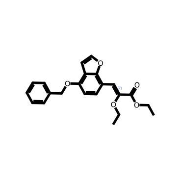 CCOC(=O)/C(=C/c1ccc(OCc2ccccc2)c2ccoc12)OCC